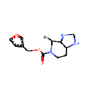 CC(C)C1C2NCNC2CCN1C(=O)OCc1ccoc1